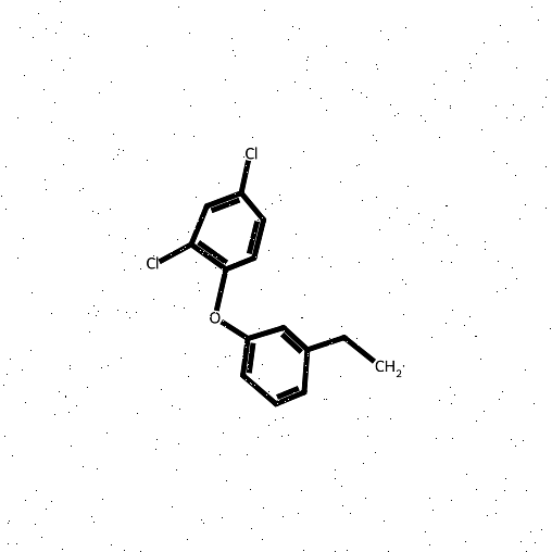 [CH2]Cc1cccc(Oc2ccc(Cl)cc2Cl)c1